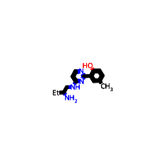 CCC(N)CNc1ccnc(-c2cc(C)ccc2O)n1